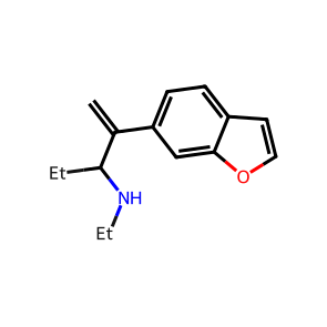 C=C(c1ccc2ccoc2c1)C(CC)NCC